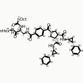 CCCCCCCCC(=O)N[C@@H](CNC(=O)c1ccc(C(=O)N2C[C@@H](C(=O)N[C@H]3C[C@@H]3c3ccccc3)[C@H](C(=O)N[C@H]3C[C@@H]3c3ccccc3)C2)cc1)C(=O)NCCCCCC